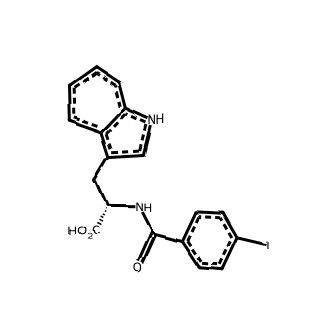 O=C(N[C@@H](Cc1c[nH]c2ccccc12)C(=O)O)c1ccc(I)cc1